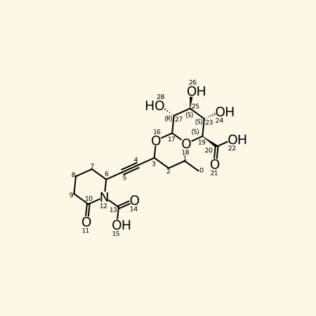 CCCC(C#CC1CCCC(=O)N1C(=O)O)OC1O[C@H](C(=O)O)[C@@H](O)[C@H](O)[C@H]1O